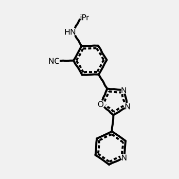 CC(C)Nc1ccc(-c2nnc(-c3cccnc3)o2)cc1C#N